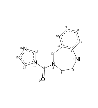 O=C(N1CCNc2ccccc2C1)n1ccnc1